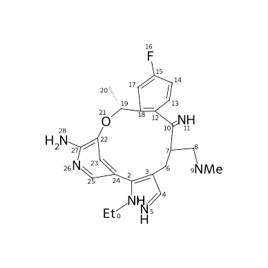 CCN/C1=C(\C=N)CC(CNC)C(=N)c2ccc(F)cc2[C@@H](C)Oc2cc1cnc2N